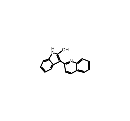 Oc1[nH]c2ccccc2c1-c1ccc2ccccc2n1